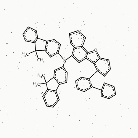 CC1(C)c2ccccc2-c2ccc(N(c3ccc4c(c3)C(C)(C)c3ccccc3-4)c3cc4c(oc5cccc(-c6ccccc6-c6ccccc6)c54)c4ccccc34)cc21